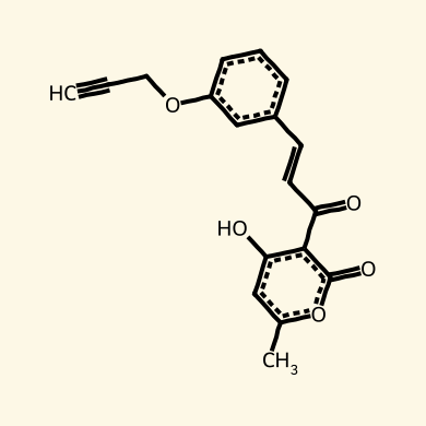 C#CCOc1cccc(C=CC(=O)c2c(O)cc(C)oc2=O)c1